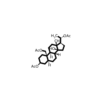 CC(=O)OC[C@]12CC[C@H](OC(C)=O)C[C@@H]1CC[C@@H]1[C@@H]2CC[C@]2(C)[C@@H]([C@H](C)OC(C)=O)CC[C@]12O